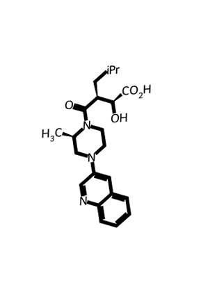 CC(C)C[C@H](C(=O)N1CCN(c2cnc3ccccc3c2)C[C@H]1C)[C@H](O)C(=O)O